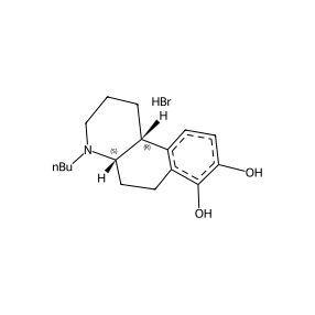 Br.CCCCN1CCC[C@@H]2c3ccc(O)c(O)c3CC[C@@H]21